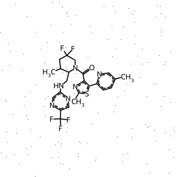 Cc1ccc(-c2sc(C)nc2C(=O)N2CC(F)(F)CC(C)C2CNc2cnc(C(F)(F)F)cn2)nc1